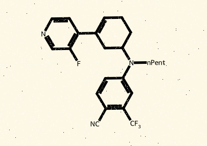 CCCCCN(c1ccc(C#N)c(C(F)(F)F)c1)C1CCC=C(c2ccncc2F)C1